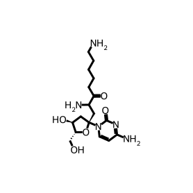 NCCCCCC(=O)C(N)C[C@]1(n2ccc(N)nc2=O)C[C@H](O)[C@@H](CO)O1